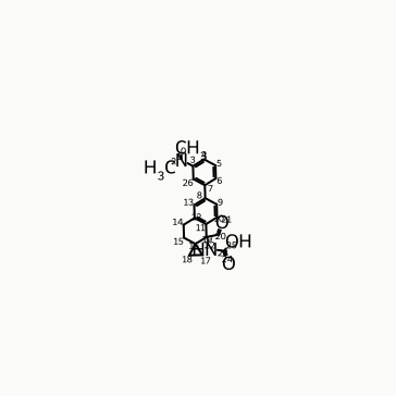 CN(C)c1cccc(-c2ccc3c(c2)CCC2(CC2)[C@]3(C=O)NC(=O)O)c1